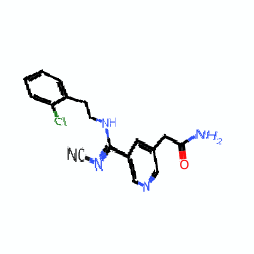 N#CN=C(NCCc1ccccc1Cl)c1cncc(CC(N)=O)c1